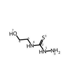 NNC(=S)NCCO